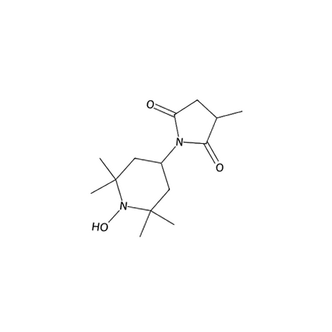 CC1CC(=O)N(C2CC(C)(C)N(O)C(C)(C)C2)C1=O